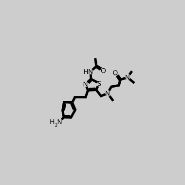 CC(=O)Nc1nc(CCc2ccc(N)cc2)c(CN(C)CCC(=O)N(C)C)s1